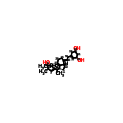 C[C@H](/C=C/[C@H](C)C(C)(C)O)[C@H]1CC[C@H]2/C(=C/CC3=C[C@@H](O)C[C@H](O)C3)CCC[C@]12C